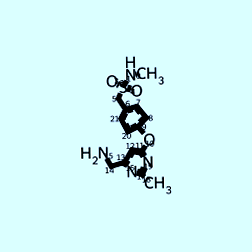 CNS(=O)(=O)Cc1ccc(Oc2cc(CN)nc(C)n2)cc1